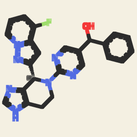 OC(c1ccccc1)c1cnc(N2CCc3[nH]cnc3[C@@H]2c2cc3c(F)cccn3n2)nc1